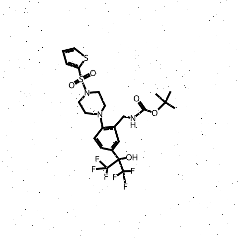 CC(C)(C)OC(=O)NCc1cc(C(O)(C(F)(F)F)C(F)(F)F)ccc1N1CCN(S(=O)(=O)c2cccs2)CC1